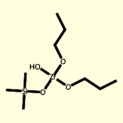 CCC[O][Zr]([OH])([O]CCC)[O][Si](C)(C)C